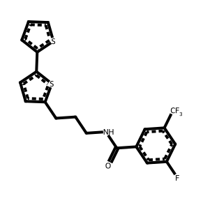 O=C(NCCCc1ccc(-c2cccs2)s1)c1cc(F)cc(C(F)(F)F)c1